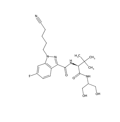 CC(C)(C)[C@H](NC(=O)c1nn(CCCCC#N)c2cc(F)ccc12)C(=O)NC(CO)CO